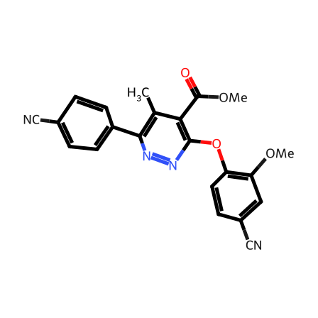 COC(=O)c1c(Oc2ccc(C#N)cc2OC)nnc(-c2ccc(C#N)cc2)c1C